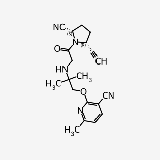 C#C[C@H]1CC[C@@H](C#N)N1C(=O)CNC(C)(C)COc1nc(C)ccc1C#N